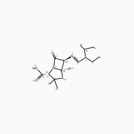 CCN(C=N[C@@H]1C(=O)N2[C@@H]1SC(C)(C)[C@@H]2C(=O)O)C(C)C